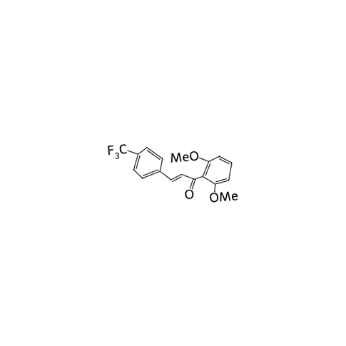 COc1cccc(OC)c1C(=O)C=Cc1ccc(C(F)(F)F)cc1